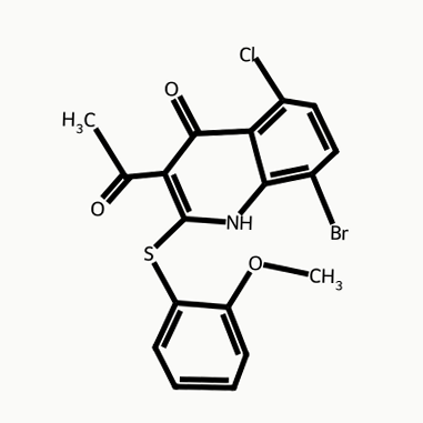 COc1ccccc1Sc1[nH]c2c(Br)ccc(Cl)c2c(=O)c1C(C)=O